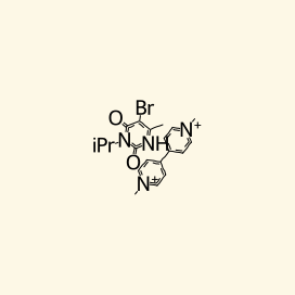 C[n+]1ccc(-c2cc[n+](C)cc2)cc1.Cc1[nH]c(=O)n(C(C)C)c(=O)c1Br